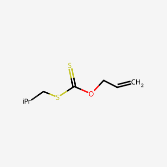 C=CCOC(=S)SCC(C)C